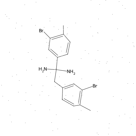 Cc1ccc(CC(N)(N)c2ccc(C)c(Br)c2)cc1Br